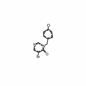 O=c1c(Br)cncn1Cc1ccc(Cl)cc1